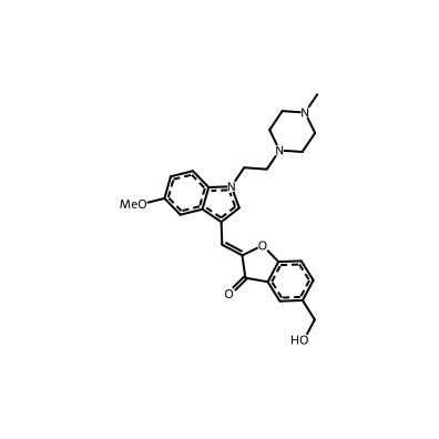 COc1ccc2c(c1)c(/C=C1\Oc3ccc(CO)cc3C1=O)cn2CCN1CCN(C)CC1